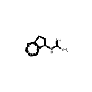 N=C(N)NC1CCc2ccccc21